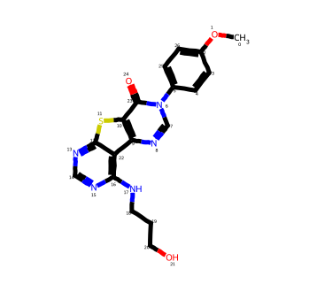 COc1ccc(-n2cnc3c(sc4ncnc(NCCCO)c43)c2=O)cc1